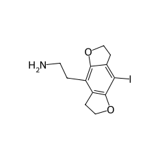 NCCc1c2c(c(I)c3c1OCC3)OCC2